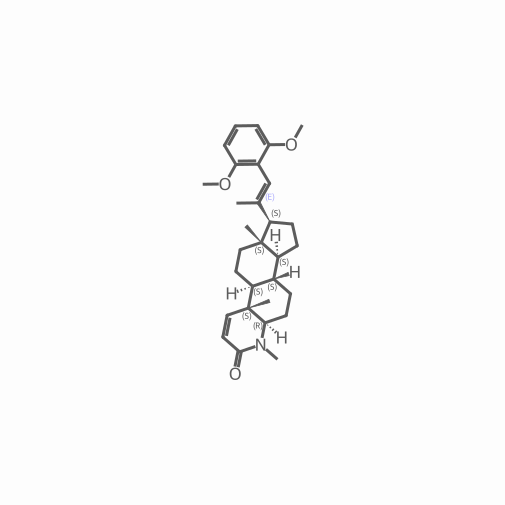 COc1cccc(OC)c1/C=C(\C)[C@H]1CC[C@H]2[C@@H]3CC[C@H]4N(C)C(=O)C=C[C@]4(C)[C@H]3CC[C@]12C